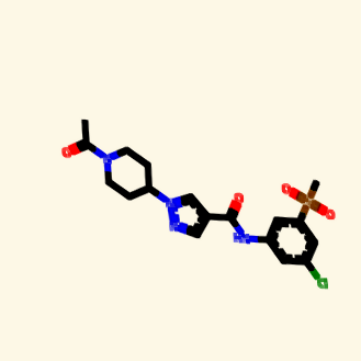 CC(=O)N1CCC(n2cc(C(=O)Nc3cc(Cl)cc(S(C)(=O)=O)c3)cn2)CC1